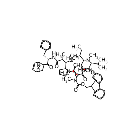 CC[C@H](C)[C@@H]([C@@H](CC(=O)N1CCC[C@H]1[C@H](OC)[C@@H](C)C(=O)N[C@@H](Cc1ccccc1)C(=O)N1OC2C=CC1CC2)OC)N(C)[C@H](C(=O)NC(=O)[C@H](C(C)C)N(C)C(=O)OCC1c2ccccc2-c2ccccc21)C(C)C